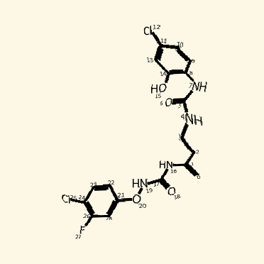 C=C(CCNC(=O)Nc1ccc(Cl)cc1O)NC(=O)NOc1ccc(Cl)c(F)c1